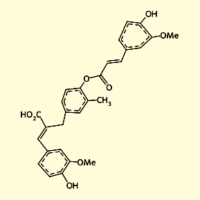 COc1cc(/C=C/C(=O)Oc2ccc(C/C(=C\c3ccc(O)c(OC)c3)C(=O)O)cc2C)ccc1O